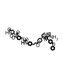 NC(=O)c1c(-c2ccc(Oc3ccccc3)cc2)nn2c1NCC[C@H]2C1CCN(C(=O)CCc2ccc(NC(=O)CNc3ccc4c(c3)C(=O)N(C3CCC(=O)NC3=O)C4=O)cc2)CC1